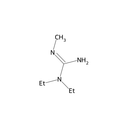 CCN(CC)C(N)=NC